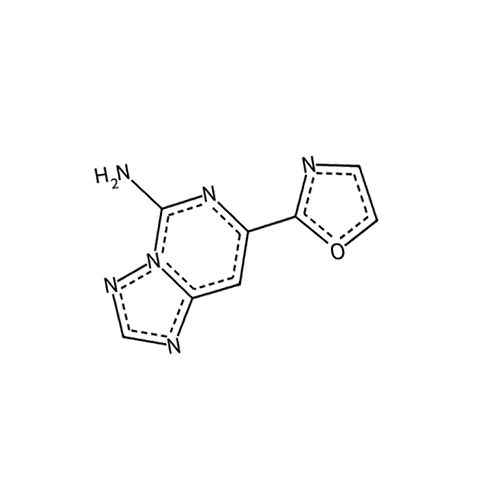 Nc1nc(-c2ncco2)cc2ncnn12